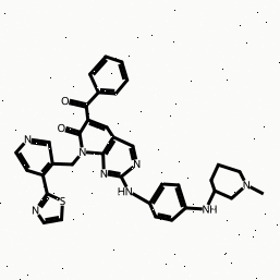 CN1CCCC(Nc2ccc(Nc3ncc4cc(C(=O)c5ccccc5)c(=O)n(Cc5cnccc5-c5nccs5)c4n3)cc2)C1